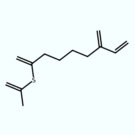 C=CC(=C)CCCCC(=C)SC(=C)C